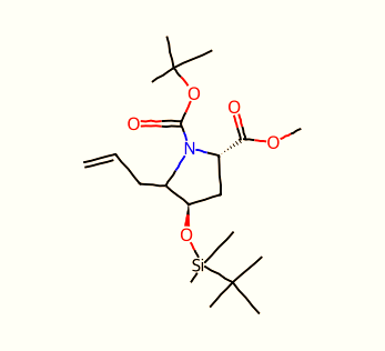 C=CCC1[C@H](O[Si](C)(C)C(C)(C)C)C[C@@H](C(=O)OC)N1C(=O)OC(C)(C)C